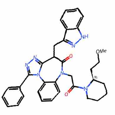 COCC[C@H]1CCCCN1C(=O)CN1C(=O)C(Cc2n[nH]c3ccccc23)c2nnc(-c3ccccc3)n2-c2ccccc21